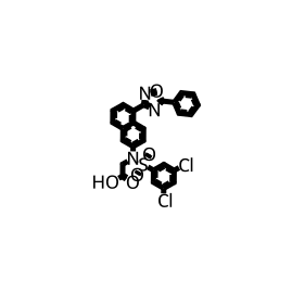 O=C(O)CN(c1ccc2c(-c3noc(-c4ccccc4)n3)cccc2c1)S(=O)(=O)c1cc(Cl)cc(Cl)c1